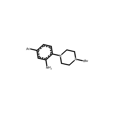 CC(=O)c1ccc(N2CCN(C(C)(C)C)CC2)c(N)c1